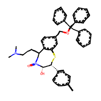 Cc1ccc([C@H]2Sc3cc(COC(c4ccccc4)(c4ccccc4)c4ccccc4)ccc3C(CCN(C)C)[N+](=O)[C@H]2O)cc1